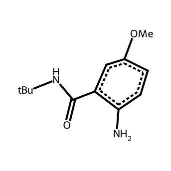 COc1ccc(N)c(C(=O)NC(C)(C)C)c1